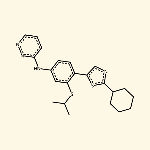 CC(C)Sc1cc(Nc2cccnn2)ccc1-c1cnc(C2CCCCC2)s1